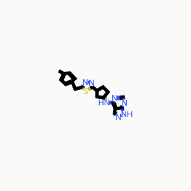 Cc1ccc(Cc2nnc(C3CC[C@H](Nc4ncnc5[nH]ncc45)C3)s2)cc1